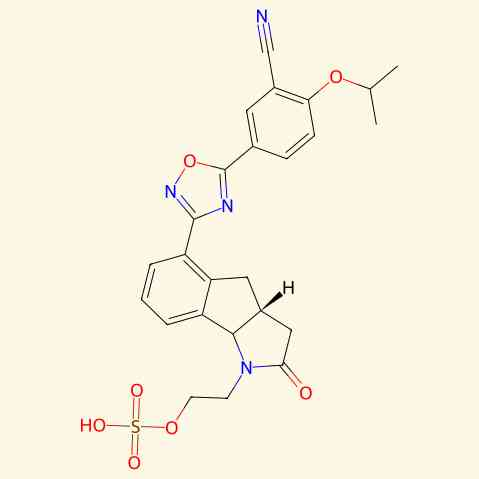 CC(C)Oc1ccc(-c2nc(-c3cccc4c3C[C@@H]3CC(=O)N(CCOS(=O)(=O)O)C43)no2)cc1C#N